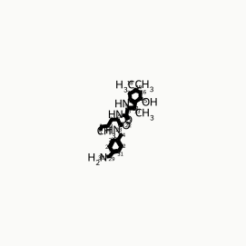 CCCCC(NC(=O)c1[nH]c2c(c1C)C(O)CC(C)(C)C2)C(=O)NCc1ccc(CN)cc1